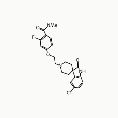 CNC(=O)c1ccc(OCCN2CCC3(CC2)C(=O)Nc2ccc(Cl)cc23)cc1F